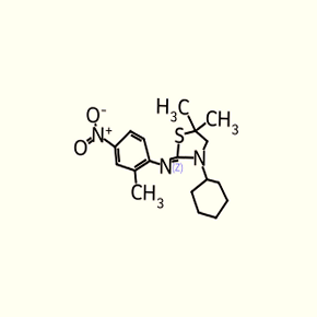 Cc1cc([N+](=O)[O-])ccc1/N=C1\SC(C)(C)CN1C1CCCCC1